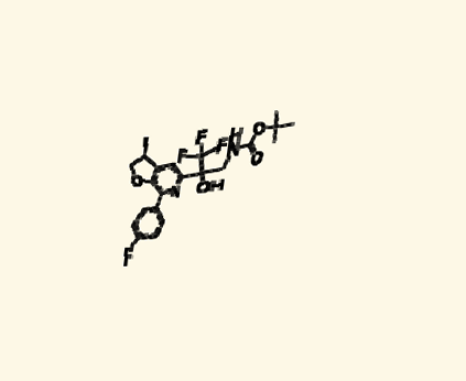 C[C@@H]1COc2c1cc(C(O)(CNC(=O)OC(C)(C)C)C(F)(F)F)nc2-c1ccc(F)cc1